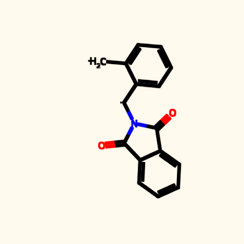 [CH2]c1ccccc1[CH]N1C(=O)c2ccccc2C1=O